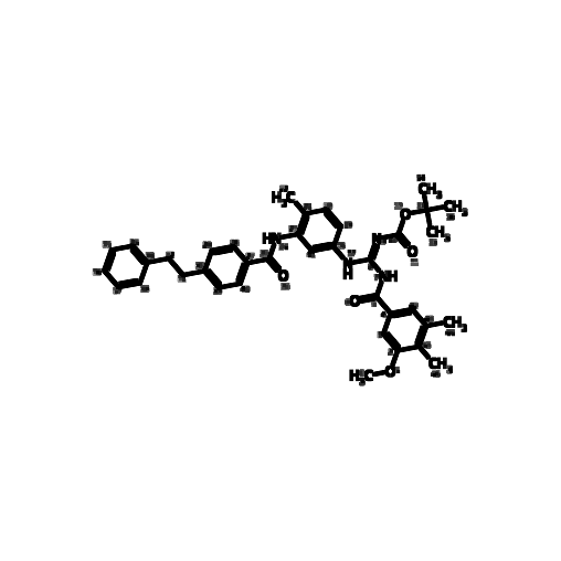 COc1cc(C(=O)N/C(=N\C(=O)OC(C)(C)C)Nc2ccc(C)c(NC(=O)c3ccc(CCc4ccccc4)cc3)c2)cc(C)c1C